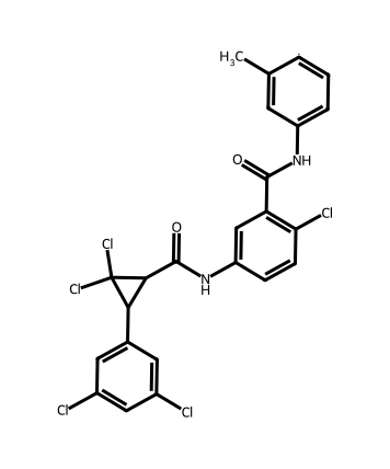 Cc1[c]ccc(NC(=O)c2cc(NC(=O)C3C(c4cc(Cl)cc(Cl)c4)C3(Cl)Cl)ccc2Cl)c1